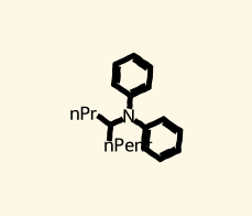 CCCCCC(CCC)N(c1ccccc1)c1ccccc1